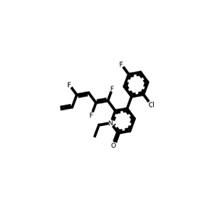 C=C/C(F)=C\C(F)=C(/F)c1c(-c2cc(F)ccc2Cl)ccc(=O)n1CC